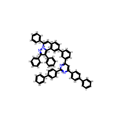 c1ccc(-c2ccc(-c3cc(-c4cccc(-c5ccc6cc(-c7ccccc7)n7nc(-c8ccccc8)c(-c8ccccc8)c7c6c5)c4)nc(-c4ccc(-c5ccccc5)cc4)n3)cc2)cc1